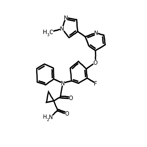 Cn1cc(-c2cc(Oc3ccc(N(C(=O)C4(C(N)=O)CC4)c4ccccc4)cc3F)ccn2)cn1